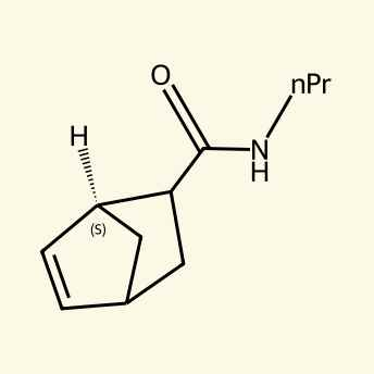 CCCNC(=O)C1CC2C=C[C@@H]1C2